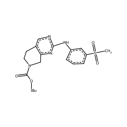 CC(C)(C)OC(=O)N1CCc2cnc(Nc3cccc(S(C)(=O)=O)c3)nc2C1